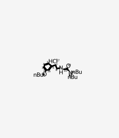 CCCCOc1cccc(CCNCC(=O)N(CCCC)CCCC)c1.Cl